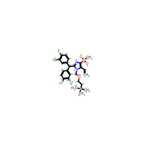 C=Cc1c(S(C)(=O)=O)nc(C(c2ccc(F)c(Cl)c2)c2ccc(F)c(Cl)c2)n1COCC[Si](C)(C)C